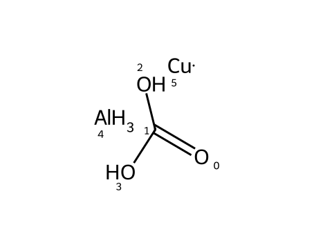 O=C(O)O.[AlH3].[Cu]